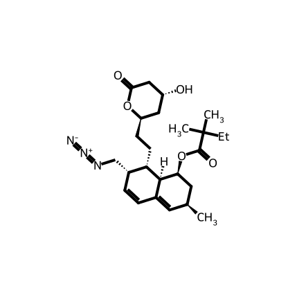 CCC(C)(C)C(=O)O[C@H]1C[C@@H](C)C=C2C=C[C@H](CN=[N+]=[N-])[C@H](CC[C@@H]3C[C@@H](O)CC(=O)O3)[C@H]21